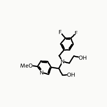 COc1ccc(C(CO)N(CCO)Cc2ccc(F)c(F)c2)cn1